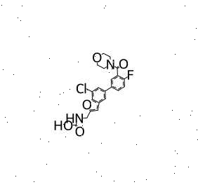 O=C(O)NCc1cc2cc(-c3ccc(F)c(C(=O)N4CCOCC4)c3)cc(Cl)c2o1